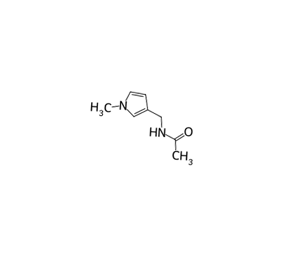 CC(=O)NCc1ccn(C)c1